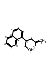 C=C(I)CC(CO)c1cccc2ccccc12